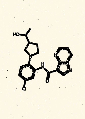 CC(O)C1CCN(c2ccc(Cl)cc2NC(=O)c2cnn3cccnc23)C1